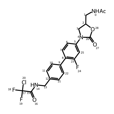 CC(=O)NCC1CN(c2ccc(-c3ccc(CNC(=O)C(F)(F)Cl)cc3)c(F)c2)C(=O)O1